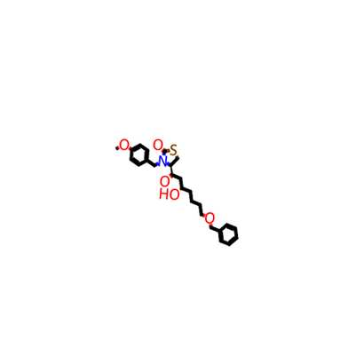 COc1ccc(CN2C(=O)SC[C@H]2C(=O)C[C@H](O)CCCCOCc2ccccc2)cc1